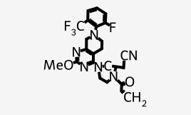 C=CC(=O)N1CCN(c2nc(OC)nc3c2CCN(c2c(F)cccc2C(F)(F)F)C3)CC1CC#N